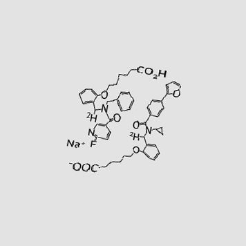 [2H]C(c1ccccc1OCCCCCC(=O)O)N(Cc1ccccc1)C(=O)c1ccc(F)nc1.[2H]C(c1ccccc1OCCCCCC(=O)[O-])N(C(=O)c1ccc(-c2ccco2)cc1)C1CC1.[Na+]